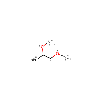 CCCCC(CO[N+](=O)[O-])O[N+](=O)[O-]